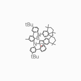 Cc1cc2c3c(c1)N(c1ccc(C(C)(C)C)cc1-c1ccccc1)c1oc4cc5c(cc4c1B3N(c1ccc3c(c1)C(C)(C)CCC3(C)C)c1ccc(C(C)(C)C)cc1-2)C(C)(C)CCC5(C)C